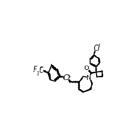 O=C(N1CCCCC(COc2ccc(C(F)(F)F)cc2)C1)C1(c2ccc(Cl)cc2)CCC1